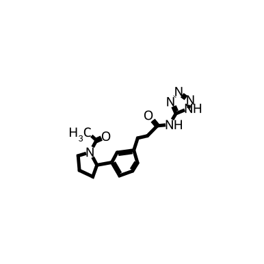 CC(=O)N1CCCC1c1cccc(CCC(=O)Nc2nnn[nH]2)c1